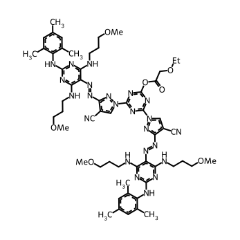 CCOCC(=O)Oc1nc(-n2cc(C#N)c(N=Nc3c(NCCCOC)nc(Nc4c(C)cc(C)cc4C)nc3NCCCOC)n2)nc(-n2cc(C#N)c(N=Nc3c(NCCCOC)nc(Nc4c(C)cc(C)cc4C)nc3NCCCOC)n2)n1